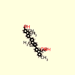 Cc1ccc2c(c1)C(CO)(CCCO)c1cc(-c3ccc4c(c3)C(C)(C)c3cc(-c5ccc6c(c5)C(C)(C)c5cc(CO)ccc5-6)ccc3-4)ccc1-2